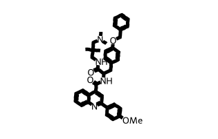 COc1ccc(-c2cc(C(=O)NC(Cc3ccc(OCc4ccccc4)cc3)C(=O)NCC(C)(C)CN(C)C)c3ccccc3n2)cc1